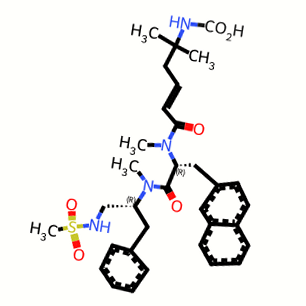 CN(C(=O)[C@@H](Cc1ccc2ccccc2c1)N(C)C(=O)C=CCC(C)(C)NC(=O)O)[C@@H](CNS(C)(=O)=O)Cc1ccccc1